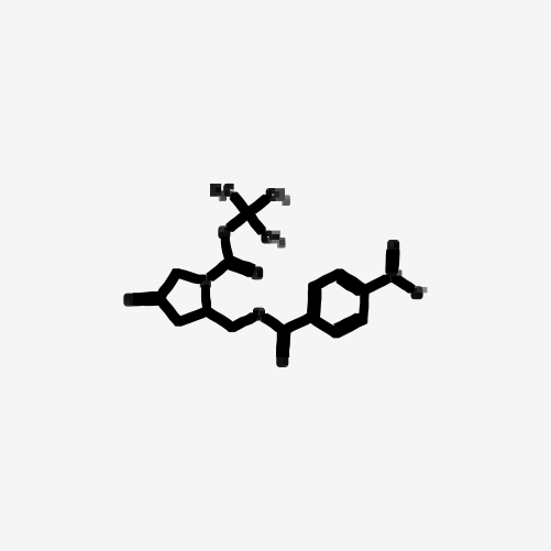 CC(C)(C)OC(=O)N1CC(=O)CC1COC(=O)c1ccc([N+](=O)[O-])cc1